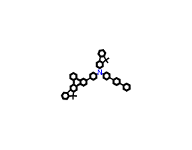 CC1(C)c2ccccc2-c2ccc(N(c3ccc(-c4ccc(-c5ccccc5)cc4)cc3)c3ccc(-c4ccc5c(c4)c4ccccc4c4cc6c(cc54)C(C)(C)c4ccccc4-6)cc3)cc21